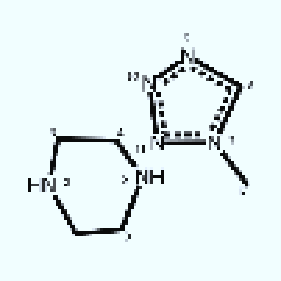 C1CNCCN1.Cn1cnnn1